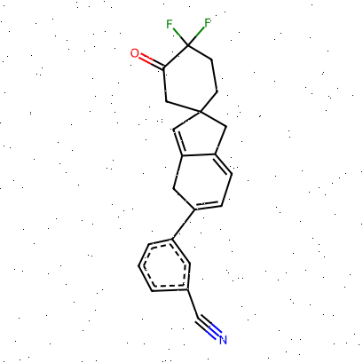 N#Cc1cccc(C2=CC=C3CC4(C=C3C2)CCC(F)(F)C(=O)C4)c1